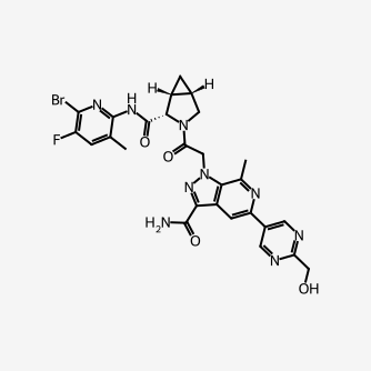 Cc1cc(F)c(Br)nc1NC(=O)[C@@H]1[C@@H]2C[C@@H]2CN1C(=O)Cn1nc(C(N)=O)c2cc(-c3cnc(CO)nc3)nc(C)c21